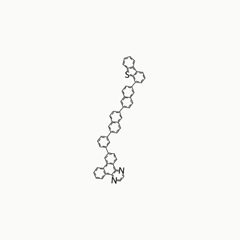 c1cc(-c2ccc3cc(-c4ccc5cc(-c6cccc7c6sc6ccccc67)ccc5c4)ccc3c2)cc(-c2ccc3c(c2)c2ccccc2c2nccnc32)c1